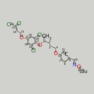 CC(CCCOc1ccc(C=NOC(C)(C)C)cc1)Oc1c(Cl)cc(OCC=C(Cl)Cl)cc1Cl